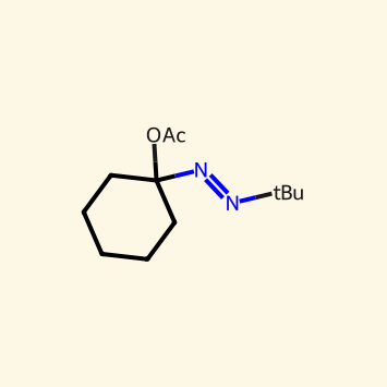 CC(=O)OC1(N=NC(C)(C)C)CCCCC1